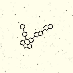 c1ccc(-c2ccc(N(c3cccc(-c4ccc5cc(-c6ccc7ccccc7c6)ccc5c4)c3)c3cccc4sc5ccccc5c34)cc2)cc1